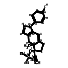 C#C[C@]1(O[Si](CC)(CC)CC)CCC2=Cc3c(cnn3-c3ccc(F)cc3)C[C@@]21C